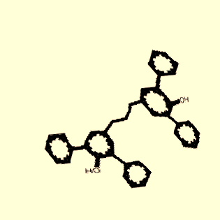 Oc1c(-c2ccccc2)cc(CCCc2cc(-c3ccccc3)c(O)c(-c3ccccc3)c2)cc1-c1ccccc1